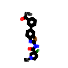 CNC(=O)c1cccc(-c2ccc3nc(NC(=O)C4(F)CCN(C#N)C4)sc3c2)c1